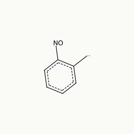 [CH2]c1ccccc1N=O